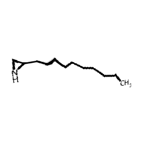 CCCCCCCCCCC1CN1